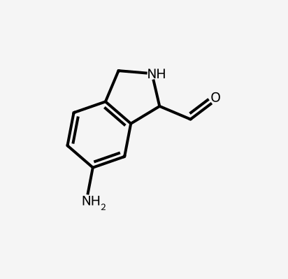 Nc1ccc2c(c1)C(C=O)NC2